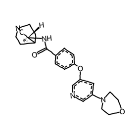 O=C(N[C@H]1CN2CCC1CC2)c1ccc(Oc2cncc(N3CCOCC3)c2)cc1